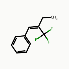 CCC(=Cc1ccccc1)C(F)(F)F